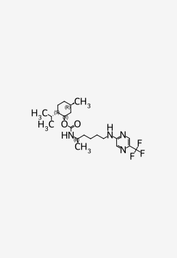 CC(C)[C@@H]1CC[C@@H](C)C[C@H]1OC(=O)N[C@H](C)CCCCNc1cnc(C(F)(F)F)cn1